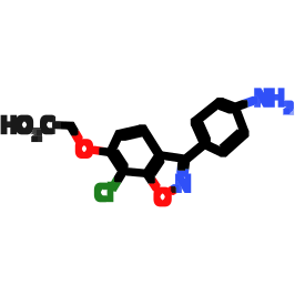 Nc1ccc(-c2noc3c(Cl)c(OCC(=O)O)ccc23)cc1